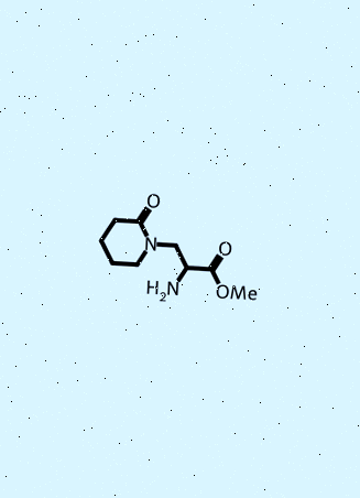 COC(=O)C(N)CN1CCCCC1=O